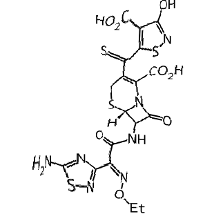 CCON=C(C(=O)NC1C(=O)N2C(C(=O)O)=C(C(=S)c3snc(O)c3C(=O)O)CS[C@@H]12)c1nsc(N)n1